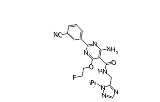 CC(C)n1ncnc1CNC(=O)c1c(N)nc(-c2cccc(C#N)c2)nc1OCCF